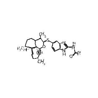 CCC(=O)Nc1nc2cc(SC3O[C@@H]4O[C@]5(C)CC[C@H]6[C@H](C)CCC([C@H]3C)[C@@]46OO5)ccc2[nH]1